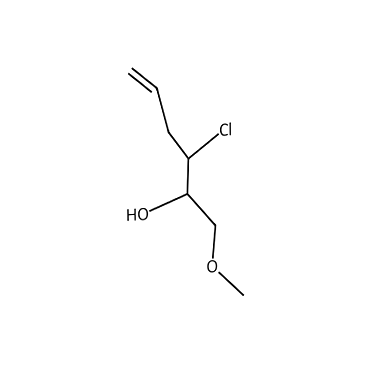 C=CCC(Cl)C(O)COC